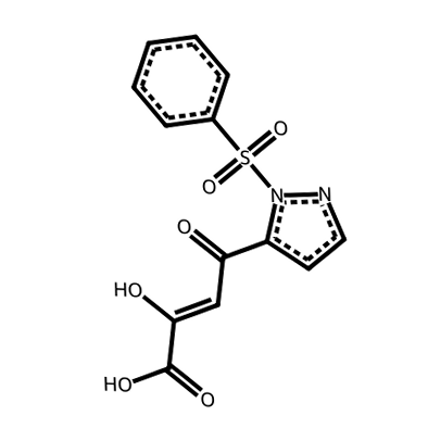 O=C(O)C(O)=CC(=O)c1ccnn1S(=O)(=O)c1ccccc1